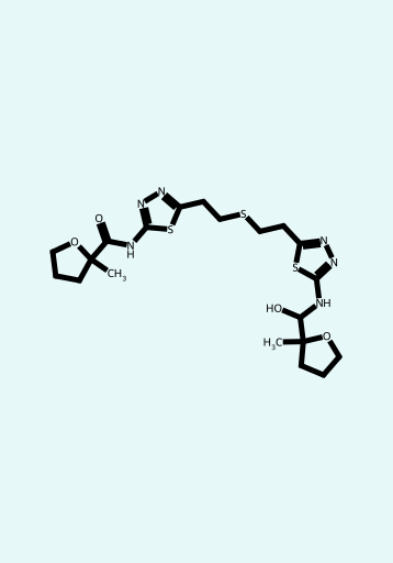 CC1(C(=O)Nc2nnc(CCSCCc3nnc(NC(O)C4(C)CCCO4)s3)s2)CCCO1